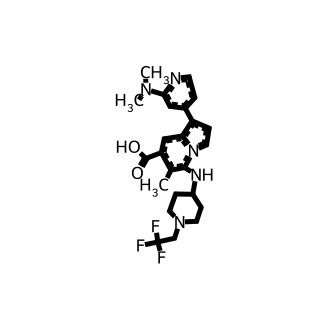 Cc1c(C(=O)O)cc2c(-c3ccnc(N(C)C)c3)ccn2c1NC1CCN(CC(F)(F)F)CC1